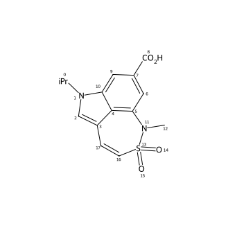 CC(C)n1cc2c3c(cc(C(=O)O)cc31)N(C)S(=O)(=O)C=C2